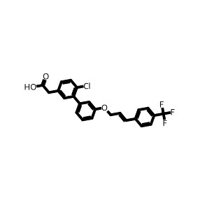 O=C(O)Cc1ccc(Cl)c(-c2cccc(OCC=Cc3ccc(C(F)(F)F)cc3)c2)c1